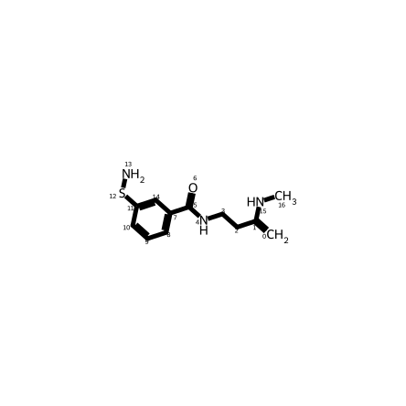 C=C(CCNC(=O)c1cccc(SN)c1)NC